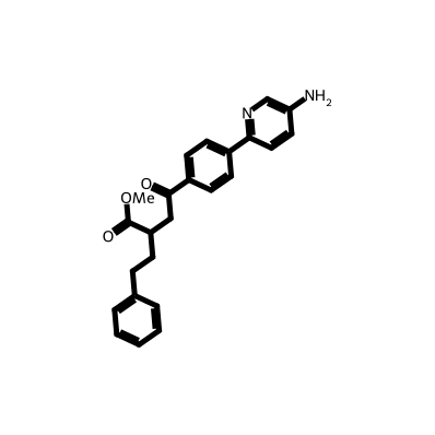 COC(=O)C(CCc1ccccc1)CC(=O)c1ccc(-c2ccc(N)cn2)cc1